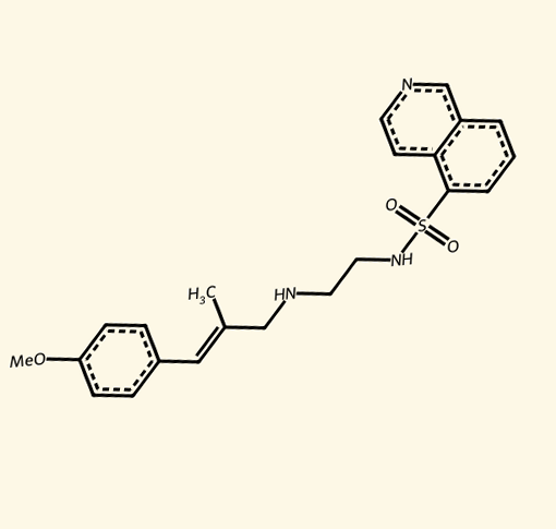 COc1ccc(/C=C(\C)CNCCNS(=O)(=O)c2cccc3cnccc23)cc1